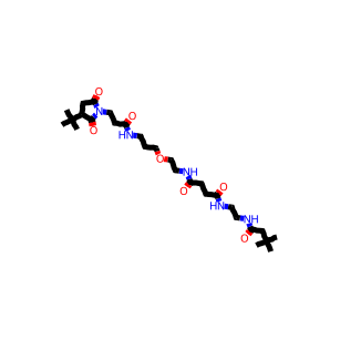 CC(C)(C)CC(=O)NCCNC(=O)CCC(=O)NCCOCCCNC(=O)CCN1C(=O)CC(C(C)(C)C)C1=O